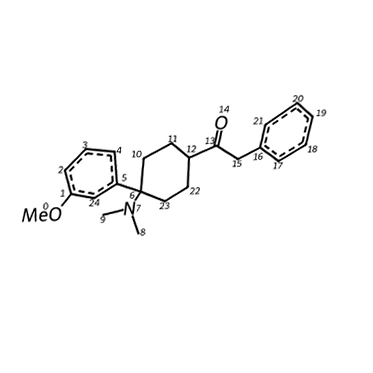 COc1cccc(C2(N(C)C)CCC(C(=O)Cc3ccccc3)CC2)c1